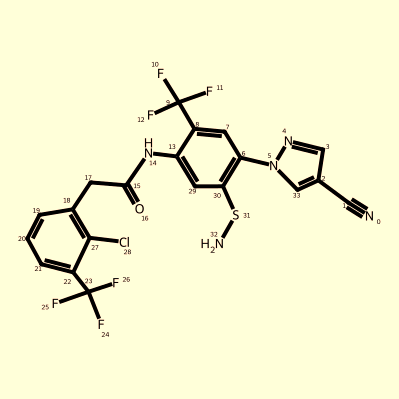 N#Cc1cnn(-c2cc(C(F)(F)F)c(NC(=O)Cc3cccc(C(F)(F)F)c3Cl)cc2SN)c1